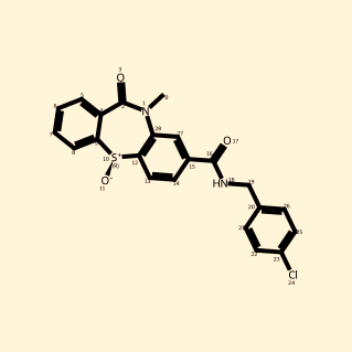 CN1C(=O)c2ccccc2[S@+]([O-])c2ccc(C(=O)NCc3ccc(Cl)cc3)cc21